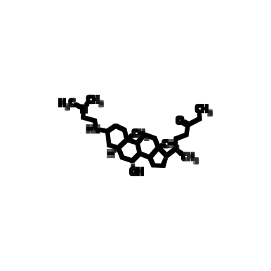 CCC(=O)CC[C@@H](C)[C@H]1CCC2C3C(CC[C@@]21C)[C@@]1(C)CCC(NCCN(C)C)C[C@@H]1C[C@H]3O